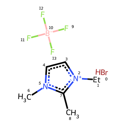 Br.CC[n+]1ccn(C)c1C.F[B-](F)(F)F